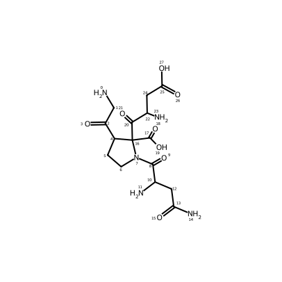 NCC(=O)C1CCN(C(=O)C(N)CC(N)=O)C1(C(=O)O)C(=O)C(N)CC(=O)O